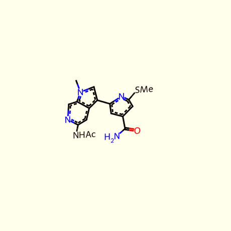 CSc1cc(C(N)=O)cc(-c2cn(C)c3cnc(NC(C)=O)cc23)n1